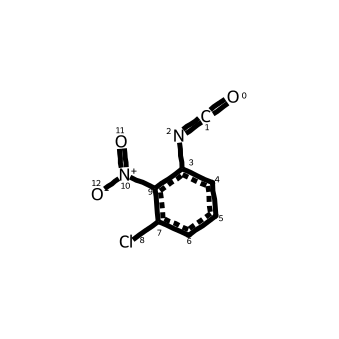 O=C=Nc1cccc(Cl)c1[N+](=O)[O-]